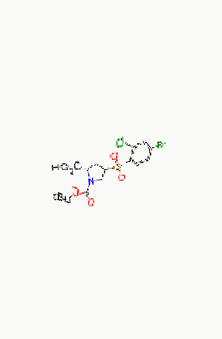 CC(C)(C)OC(=O)N1C[C@H](S(=O)(=O)c2ccc(Br)cc2Cl)C[C@H]1C(=O)O